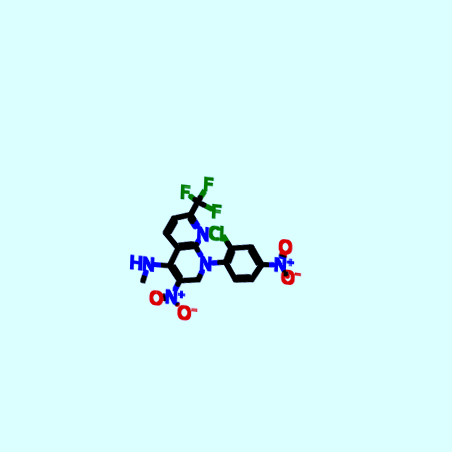 CNC1=C([N+](=O)[O-])CN(c2ccc([N+](=O)[O-])cc2Cl)c2nc(C(F)(F)F)ccc21